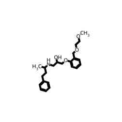 COCCOCc1ccccc1OCC(O)CNC(C)CCc1ccccc1